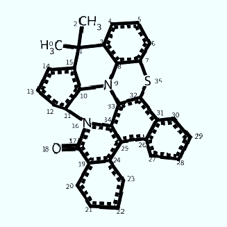 CC1(C)c2cccc3c2N2c4c(cccc41)-n1c(=O)c4ccccc4c4c5ccccc5c(c2c41)S3